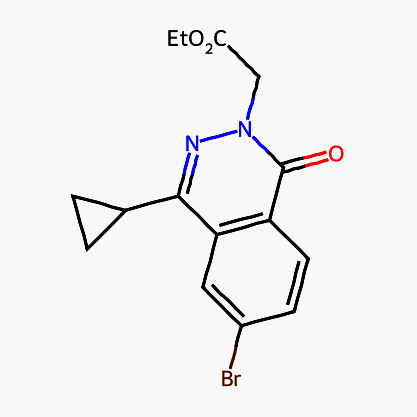 CCOC(=O)Cn1nc(C2CC2)c2cc(Br)ccc2c1=O